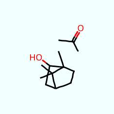 CC(C)=O.CC1(C)C2CCC1(C)C(O)C2